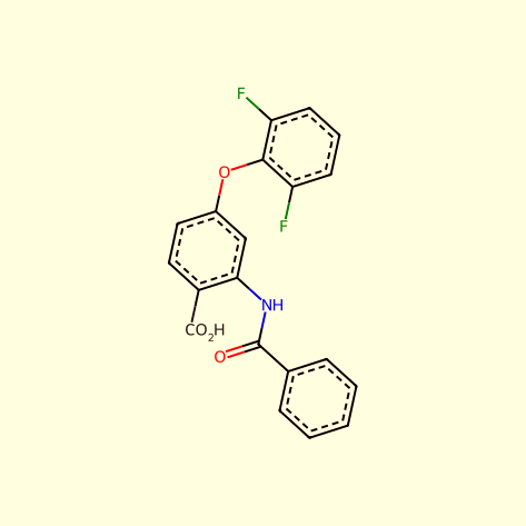 O=C(Nc1cc(Oc2c(F)cccc2F)ccc1C(=O)O)c1ccccc1